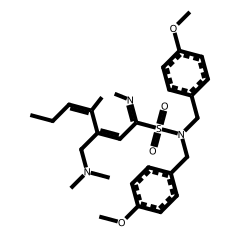 CC\C=C(C)/C(=C\C(=N/C)S(=O)(=O)N(Cc1ccc(OC)cc1)Cc1ccc(OC)cc1)CN(C)C